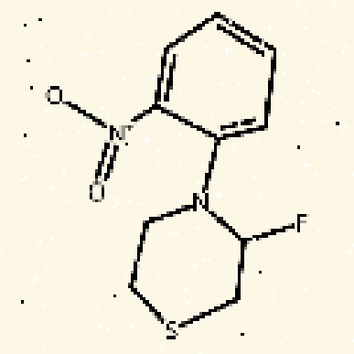 O=[N+]([O-])c1ccccc1N1CCSCC1F